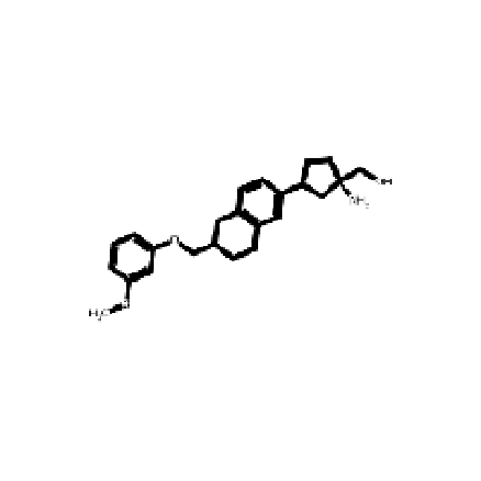 COc1cccc(OCC2CCc3cc(C4CC[C@](N)(CO)C4)ccc3C2)c1